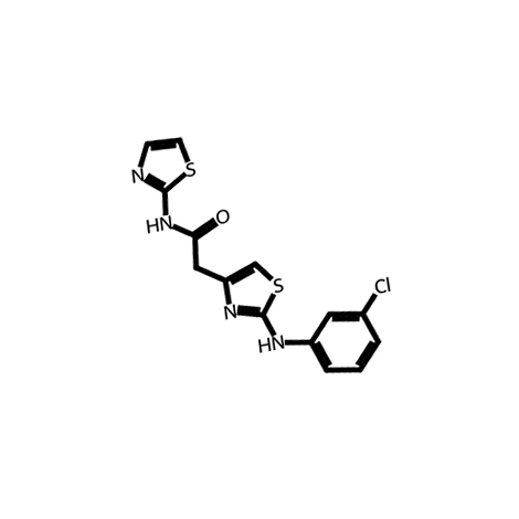 O=C(Cc1csc(Nc2cccc(Cl)c2)n1)Nc1nccs1